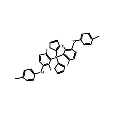 Cc1ccc(Nc2ccc(F)[c]([Ti]([C]3=CC=CC3)([C]3=CC=CC3)[c]3c(F)ccc(Nc4ccc(C)cc4)c3F)c2F)cc1